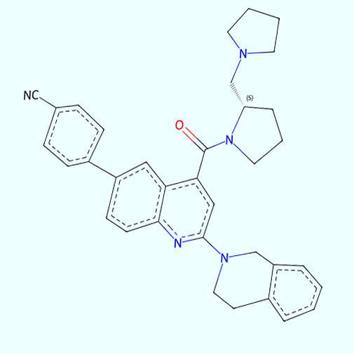 N#Cc1ccc(-c2ccc3nc(N4CCc5ccccc5C4)cc(C(=O)N4CCC[C@H]4CN4CCCC4)c3c2)cc1